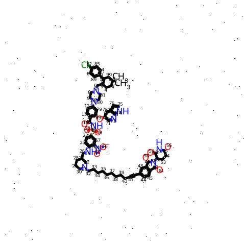 CC1(C)CCC(CN2CCN(c3ccc(C(=O)NS(=O)(=O)c4ccc(NCC5CCCN(CCCCCCCCCC#Cc6ccc7c(c6)C(=O)N(C6CCC(=O)NC6=O)C7=O)C5)c([N+](=O)[O-])c4)c(Oc4cnc5[nH]ccc5c4)c3)CC2)=C(c2ccc(Cl)cc2)C1